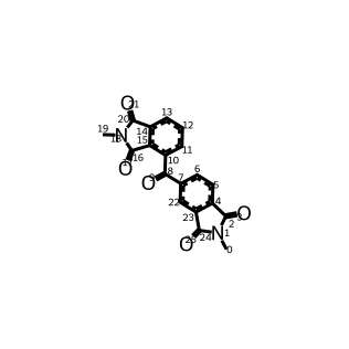 CN1C(=O)c2ccc(C(=O)c3cccc4c3C(=O)N(C)C4=O)cc2C1=O